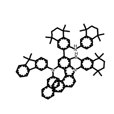 CC1(C)CCC(C)(C)c2cc(Nc3cc4c(cc3-c3cc(N(c5ccc6c(c5)-c5ccccc5C6(C)C)c5ccc6ccccc6c5)c5c6c7ccccc7ccc6n6c5c3Bc3cc5c(cc3-6)C(C)(C)CCC5(C)C)C(C)(C)CCC4(C)C)ccc21